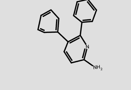 Nc1ccc(-c2ccccc2)c(-c2ccccc2)n1